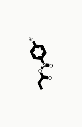 CCC(=O)OS(=O)c1ccc(Br)cc1